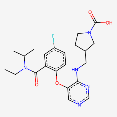 CCN(C(=O)c1cc(F)ccc1Oc1cncnc1NCC1CCN(C(=O)O)C1)C(C)C